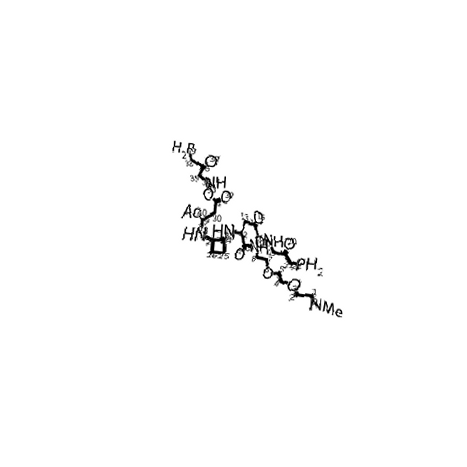 CNCCOCCOCCNC(=O)[C@H](CC(=O)ONCC(=O)CP)NC1CCC1N[C@@H](CC(=O)ONCC(=O)CP)C(C)=O